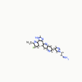 Cc1nc(-c2[nH]cnc2-c2ccc3ncc(-c4cnn(CCN)c4)cc3n2)ccc1F